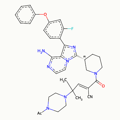 CC(=O)N1CCN(C(C)(C)C=C(C#N)C(=O)N2CCC[C@@H](c3nc(-c4ccc(Oc5ccccc5)cc4F)c4c(N)nccn34)C2)CC1